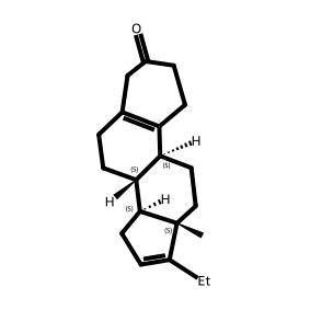 CCC1=CC[C@H]2[C@@H]3CCC4=C(CCC(=O)C4)[C@H]3CC[C@]12C